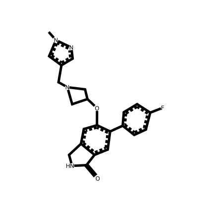 Cn1cc(CN2CC(Oc3cc4c(cc3-c3ccc(F)cc3)C(=O)NC4)C2)cn1